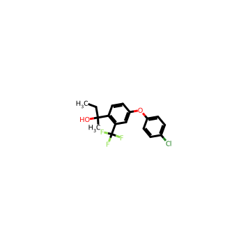 CCC(C)(O)c1ccc(Oc2ccc(Cl)cc2)cc1C(F)(F)F